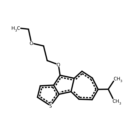 CCOCCOc1c2ccc(C(C)C)ccc-2c2sccc12